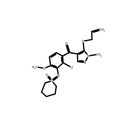 C=CCOc1c(C(=O)c2ccc(OC)c(N=S3(=O)CCCCC3)c2Cl)cnn1C